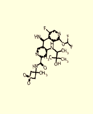 CC(Nc1cc(C(=O)NC2(C)CS(=O)(=O)C2)ncc1C(=N)c1cc(OC(F)F)ncc1F)C(C)(C)O